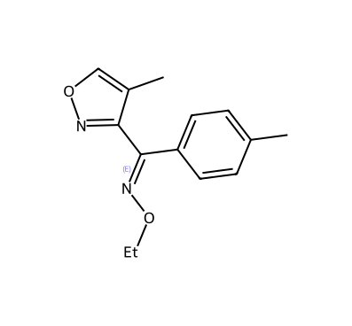 CCO/N=C(\c1ccc(C)cc1)c1nocc1C